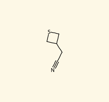 N#CCC1CSC1